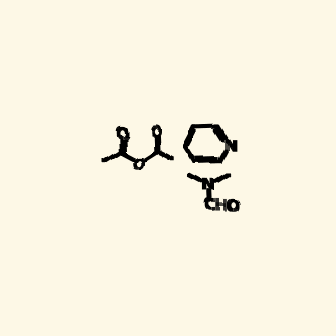 CC(=O)OC(C)=O.CN(C)C=O.c1ccncc1